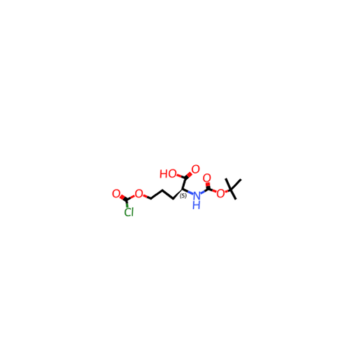 CC(C)(C)OC(=O)N[C@@H](CCCOC(=O)Cl)C(=O)O